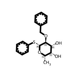 C[C@@H]1O[C@H](Sc2ccccc2)[C@@H](OCc2ccccc2)[C@H](O)[C@@H]1O